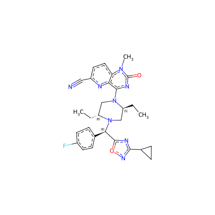 CC[C@H]1CN([C@H](c2ccc(F)cc2)c2nc(C3CC3)no2)[C@H](CC)CN1c1nc(=O)n(C)c2ccc(C#N)nc12